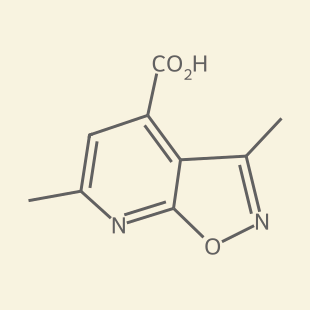 Cc1cc(C(=O)O)c2c(C)noc2n1